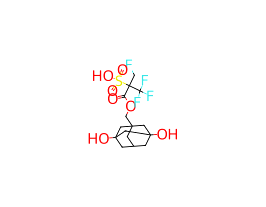 O=C(OCC12CC3CC(O)(CC(O)(C3)C1)C2)C(CF)(C(F)(F)F)S(=O)(=O)O